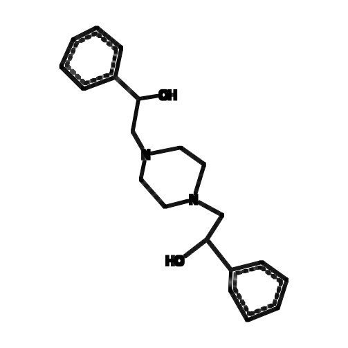 OC(CN1CCN(CC(O)c2ccccc2)CC1)c1ccccc1